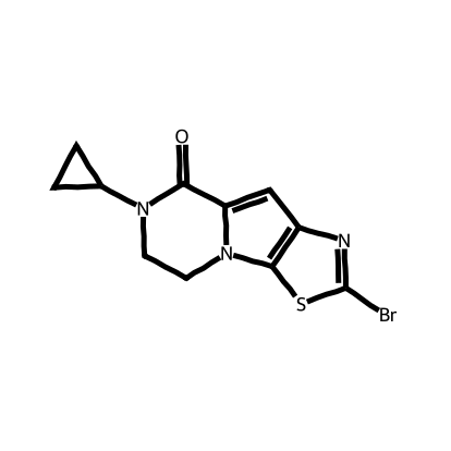 O=C1c2cc3nc(Br)sc3n2CCN1C1CC1